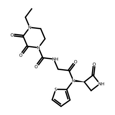 CCN1CCN(C(=O)NCC(=O)N(c2cccs2)[C@@H]2CNC2=O)C(=O)C1=O